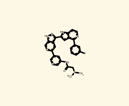 CN(C)CC(=O)Nc1cncc(-c2cc3c(-c4cc5c(-c6cccc(F)c6)nccc5[nH]4)n[nH]c3cn2)c1